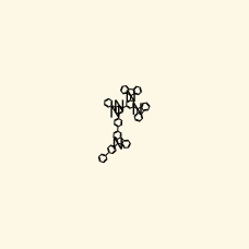 c1ccc(-c2ccc(-n3c4ccccc4c4cc(-c5ccc(-c6cc(-c7cc(-n8c9ccccc9c9ccccc98)cc(-n8c9ccccc9c9ccccc98)c7)nc(-c7ccccc7)n6)cc5)ccc43)cc2)cc1